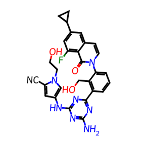 N#Cc1cc(Nc2nc(N)nc(-c3cccc(-n4ccc5cc(C6CC6)cc(F)c5c4=O)c3CO)n2)cn1CCO